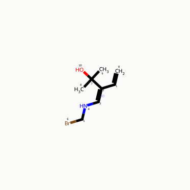 C=C/C(=C/NCBr)C(C)(C)O